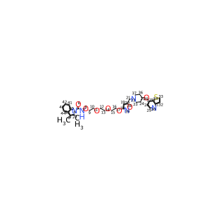 Cc1c(C)n(C(=O)NOCCOCCOCCOc2cc(CN3CCC(Oc4ccnc5ccsc45)CC3)on2)c2ccccc12